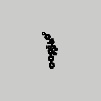 Cc1c(C(=O)Nc2ccc(N3CCC(N4CCOCC4)CC3)c(Br)c2)cnn1-c1ccc(Cl)cc1.O